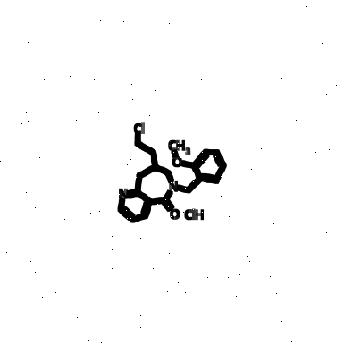 COc1ccccc1CN1CC(CCCl)Cc2ncccc2C1=O.Cl